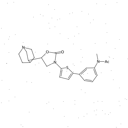 CC(=O)N(C)c1cccc(-c2ccc(N3CC(C4CN5CCC4CC5)OC3=O)s2)c1